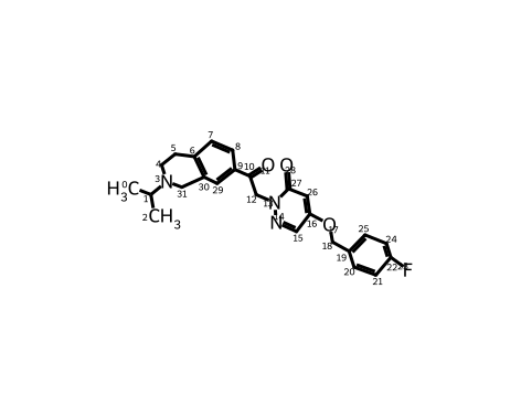 CC(C)N1CCc2ccc(C(=O)Cn3ncc(OCc4ccc(F)cc4)cc3=O)cc2C1